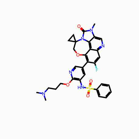 CN(C)CCCOc1ncc(-c2c(F)cc3ncc4c5c3c2OCC2(CC2)n5c(=O)n4C)cc1NS(=O)(=O)c1ccccc1